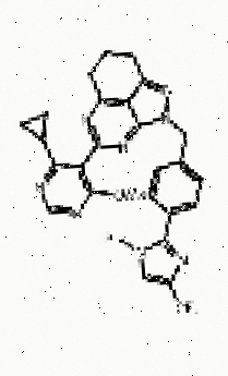 COc1ncnc(C2CC2)c1-c1nc2c3c(nn(Cc4ccc(-c5nc(C(F)(F)F)cn5C(C)C)cc4)c3n1)CCC2